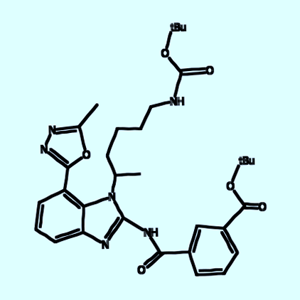 Cc1nnc(-c2cccc3nc(NC(=O)c4cccc(C(=O)OC(C)(C)C)c4)n(C(C)CCCCNC(=O)OC(C)(C)C)c23)o1